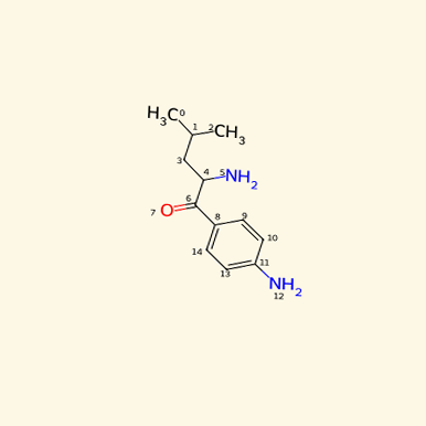 CC(C)CC(N)C(=O)c1ccc(N)cc1